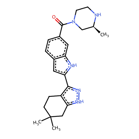 C[C@H]1CN(C(=O)c2ccc3cc(-c4n[nH]c5c4CCC(C)(C)C5)[nH]c3c2)CCN1